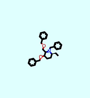 CC[C@H]1CCC(OCc2ccccc2)C(COCc2ccccc2)N1Cc1ccccc1